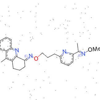 CO/N=C(\C)c1cccc(CCCO/N=C2\CCCc3c2nc2ccccc2c3C)n1